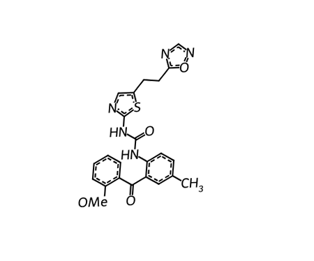 COc1ccccc1C(=O)c1cc(C)ccc1NC(=O)Nc1ncc(CCc2ncno2)s1